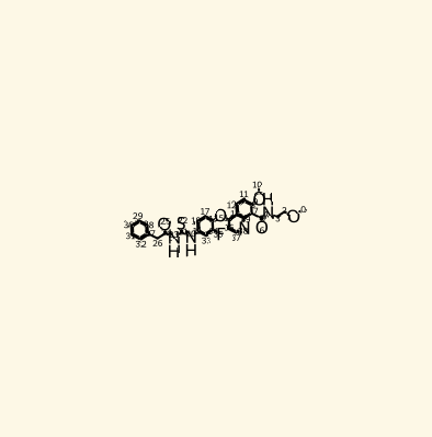 COCCNC(=O)c1c(OC)ccc2c(Oc3ccc(NC(=S)NC(=O)Cc4ccccc4)cc3F)ccnc12